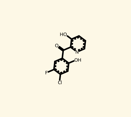 O=C(c1cc(F)c(Cl)cc1O)c1ncccc1O